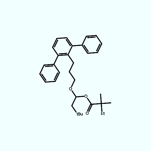 CCC(C)(C)C(=O)OC(CC(C)(C)C)OCCCc1c(-c2ccccc2)cccc1-c1ccccc1